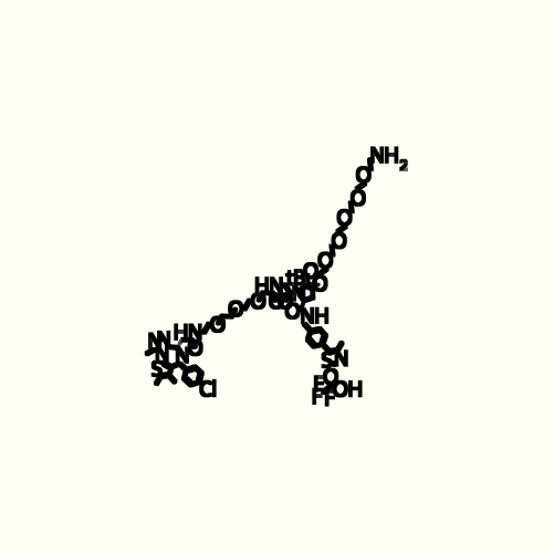 Cc1ncsc1-c1ccc(CNC(=O)[C@@H]2C[C@@H](OC(=O)COCCOCCOCCOCCOCCN)CN2C(=O)[C@@H](NC(=O)COCCOCCOCCNC(=O)C[C@@H]2N=C(c3ccc(Cl)cc3)c3c(sc(C)c3C)-n3c(C)nnc32)C(C)(C)C)cc1.O=C(O)C(F)(F)F